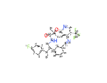 CC(c1ccc(F)cc1)C(CNC(=O)C(C)(C)Oc1ccc(C(F)(F)F)cn1)c1cccc(C#N)c1